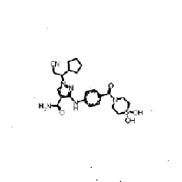 N#CCC(C1CCCC1)n1cc(C(N)=O)c(Nc2ccc(C(=O)N3CCS(O)(O)CC3)cc2)n1